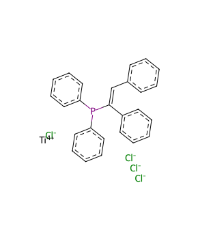 C(=C(c1ccccc1)P(c1ccccc1)c1ccccc1)c1ccccc1.[Cl-].[Cl-].[Cl-].[Cl-].[Ti+4]